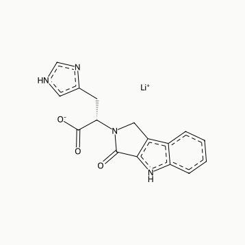 O=C([O-])[C@H](Cc1c[nH]cn1)N1Cc2c([nH]c3ccccc23)C1=O.[Li+]